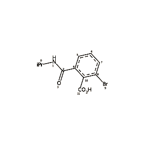 CC(C)NC(=O)c1cccc(Br)c1C(=O)O